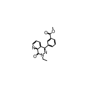 CCn1nc(-c2cccc(C(=O)OC)c2)c2cccnc2c1=O